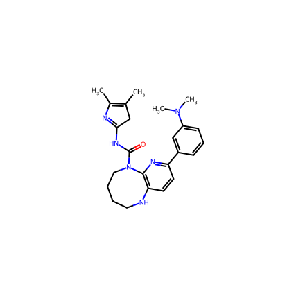 CC1=C(C)N=C(NC(=O)N2CCCCNc3ccc(-c4cccc(N(C)C)c4)nc32)C1